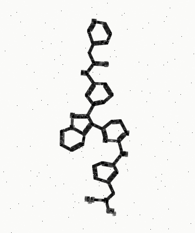 CN(C)Cc1cccc(Nc2nccc(-c3c(-c4cccc(NC(=O)Cc5cccnc5)c4)nn4ccccc34)n2)c1